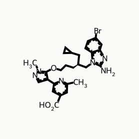 Cc1cc(C(=O)O)cc(-c2cnn(C)c2OCCC[C@@H](CC2CC2)Cn2c(N)nc3cc(Br)ccc32)n1